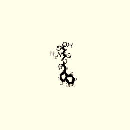 NC(CC(=O)O)C(=O)COC(=O)Cc1cccc2ccccc12